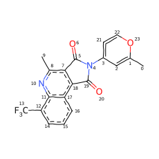 CC1=CC(N2C(=O)c3c(C)nc4c(C(F)(F)F)cccc4c3C2=O)=C=CO1